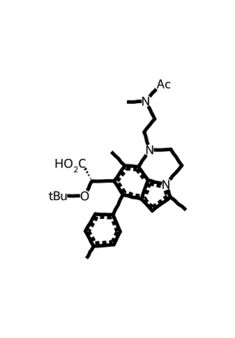 CC(=O)N(C)CCN1CCn2c(C)cc3c(-c4ccc(C)cc4)c([C@H](OC(C)(C)C)C(=O)O)c(C)c1c32